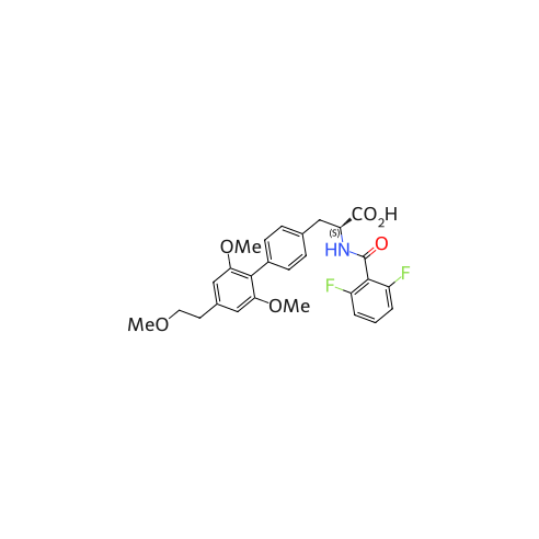 COCCc1cc(OC)c(-c2ccc(C[C@H](NC(=O)c3c(F)cccc3F)C(=O)O)cc2)c(OC)c1